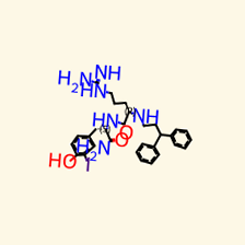 N=C(N)NCCC[C@@H](NCCC(c1ccccc1)c1ccccc1)C(=O)N[C@@H](Cc1ccc(O)c(I)c1)C(N)=O